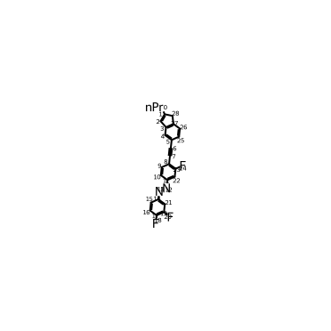 CCCC1=Cc2cc(C#Cc3ccc(N=Nc4ccc(F)c(F)c4)cc3F)ccc2C1